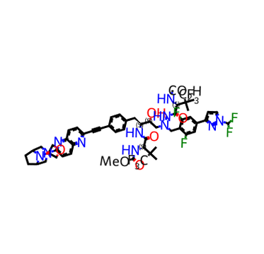 COC(=O)N[C@H](C(=O)N[C@@H](Cc1ccc(C#Cc2ccc3nc(N4CC5CCC(C4)N5C4COC4)ccc3n2)cc1)[C@@H](O)CN(Cc1c(F)cc(-c2ccn(C(F)F)n2)cc1F)NC(=O)[C@@H](NC(=O)O)C(C)(C)C(F)(F)F)C(C)(C)C(F)(F)F